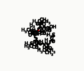 CCOC(=O)CC[C@H](NC(=O)CCC(NC(=O)CC[C@H](NC(=O)CCC(NC(=O)[C@H](CC(=O)O)NC(=O)OC(C)(C)C)C(=O)OC(C)(C)C)C(=O)OC(C)(C)C)C(=O)OC(C)(C)C)C(=O)OC(C)(C)C